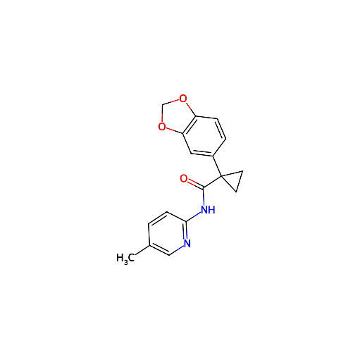 Cc1ccc(NC(=O)C2(c3ccc4c(c3)OCO4)CC2)nc1